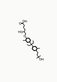 CCC(CC)(c1ccc(CCC(C)(C)O)c(C)c1)c1ccc(OCC(O)CCCC(=O)O)c(C)c1